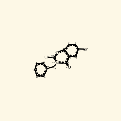 O=c1c2cc(Br)ccc2nc(Cl)n1Cc1ccccc1